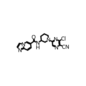 N#Cc1ncc(N2CCCC(NC(=O)c3ccc4nccn4c3)C2)nc1Cl